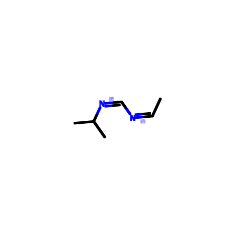 C/C=N\C=N/C(C)C